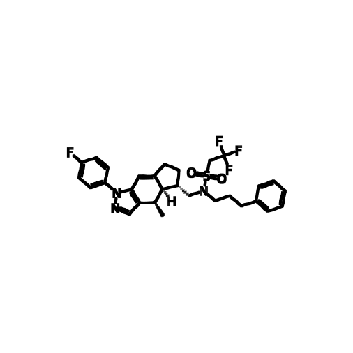 C[C@H]1c2cnn(-c3ccc(F)cc3)c2C=C2CC[C@H](CN(CCCc3ccccc3)S(=O)(=O)CC(F)(F)F)[C@H]21